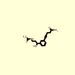 NC(=O)CCC#Cc1cccc(C(O)CCNC(=O)C(F)(F)F)c1